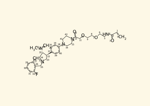 C=CC(=O)NCCOCCOCC(=O)N1CCN(c2ccc([C@H]3CN(Cc4c(C)cccc4F)C[C@@H]3N(C)C)cc2)CC1